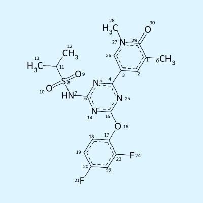 Cc1cc(-c2nc(NS(=O)(=O)C(C)C)nc(Oc3ccc(F)cc3F)n2)cn(C)c1=O